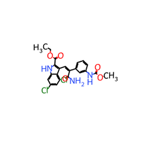 CCOC(=O)c1[nH]c2cc(Cl)cc(Cl)c2c1C=C(C(N)=O)c1cccc(NC(=O)OC)c1